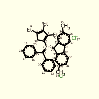 CCC1=C(CC)C(CC)=[C]([Zr+2](=[C](c2ccccc2)c2ccccc2)[CH]2c3cc(C)ccc3-c3ccc(C)cc32)C1.[Cl-].[Cl-]